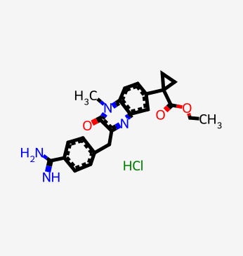 CCOC(=O)C1(c2ccc3c(c2)nc(Cc2ccc(C(=N)N)cc2)c(=O)n3C)CC1.Cl